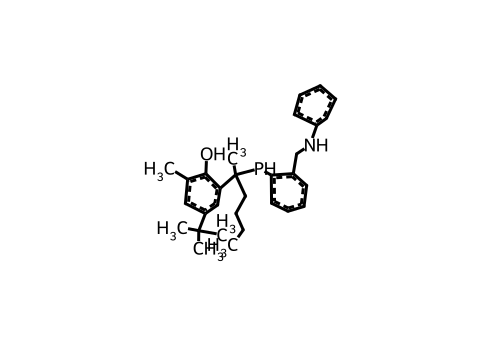 CCCCC(C)(Pc1ccccc1CNc1ccccc1)c1cc(C(C)(C)C)cc(C)c1O